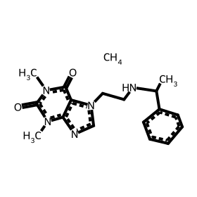 C.CC(NCCn1cnc2c1c(=O)n(C)c(=O)n2C)c1ccccc1